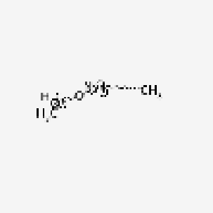 CCCCCC=CCCCC(=O)Oc1ccc(-c2ccc(CCC(C)OC(=O)CC)cc2)nc1